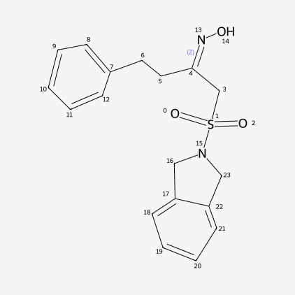 O=S(=O)(C/C(CCc1ccccc1)=N\O)N1Cc2ccccc2C1